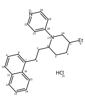 CCC1CCC(CCc2cccc3ccccc23)N(c2ccncc2)C1.Cl